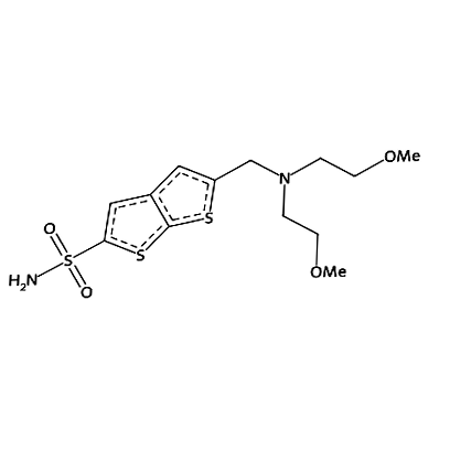 COCCN(CCOC)Cc1cc2cc(S(N)(=O)=O)sc2s1